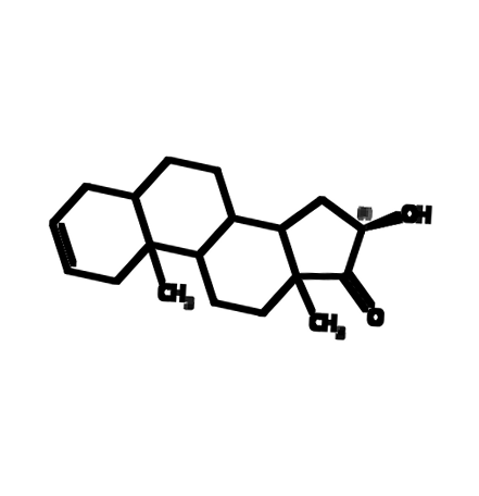 CC12CCC3C(CCC4CC=CCC43C)C1C[C@@H](O)C2=O